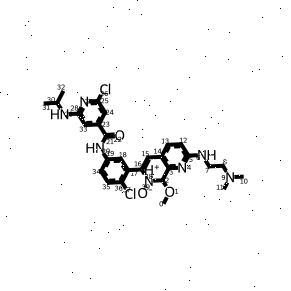 COC1c2nc(NCCN(C)C)ccc2C=C(c2cc(NC(=O)c3cc(Cl)nc(NC(C)C)c3)ccc2Cl)[NH+]1[O-]